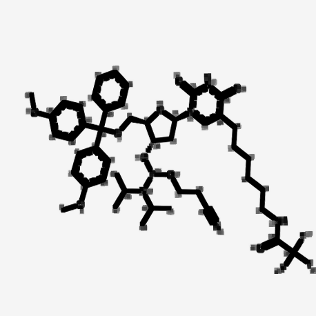 COc1ccc(C(OC[C@H]2O[C@@H](n3cc(CCCCCCNC(=O)C(F)(F)F)c(=O)[nH]c3=O)C[C@@H]2OP(OCCC#N)N(C(C)C)C(C)C)(c2ccccc2)c2ccc(OC)cc2)cc1